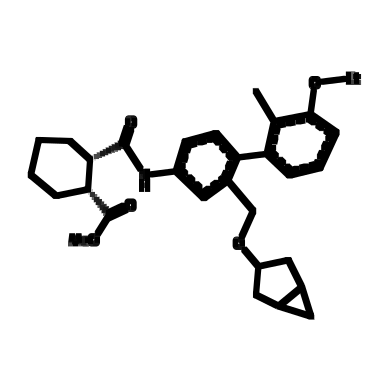 CCOc1cccc(-c2ccc(NC(=O)[C@H]3CCCC[C@H]3C(=O)OC)cc2COC2CC3CC3C2)c1C